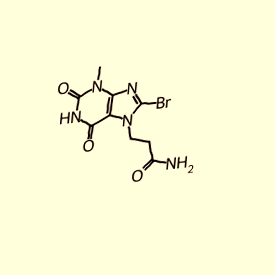 Cn1c(=O)[nH]c(=O)c2c1nc(Br)n2CCC(N)=O